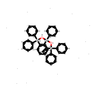 C=C[Si](O[Si](C=C)(c1ccccc1)c1ccccc1)(O[Si](c1ccccc1)(c1ccccc1)c1ccccc1)c1ccccc1